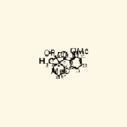 CCOC(=O)C(C)(P=O)C1(C(=O)c2c(OC)cccc2OC)CCCCC1